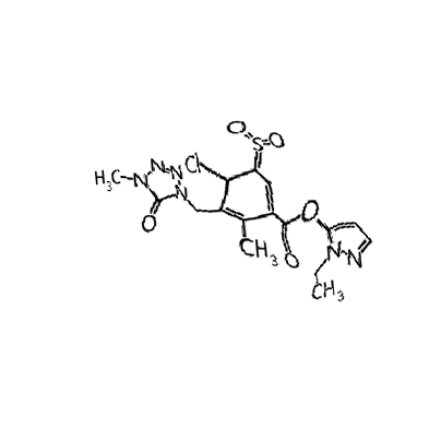 CCn1nccc1OC(=O)C1=CC(=S(=O)=O)C(Cl)C(Cn2nnn(C)c2=O)=C1C